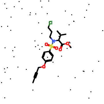 CC#CCOc1ccc(S(=O)(=O)N(CCCCl)C(C(=O)OC)C(C)C)cc1